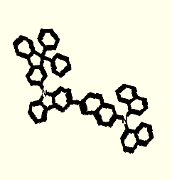 c1ccc(C2(c3ccccc3)c3ccccc3-c3ccc(-n4c5ccccc5c5cc(-c6ccc7cc(N(c8cccc9ccccc89)c8cccc9ccccc89)ccc7c6)ccc54)cc32)cc1